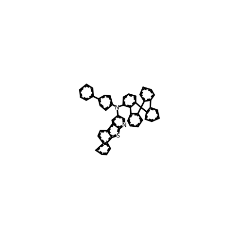 c1ccc(-c2ccc(N(c3cnc4sc5c6ccccc6ccc5c4c3)c3cccc4c3-c3ccccc3C43c4ccccc4-c4ccccc43)cc2)cc1